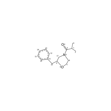 CC(C)C(=O)N1CCOC(Cc2ccccc2)C1